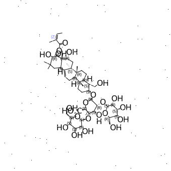 C/C=C(/C)C(=O)OC[C@@]12[C@H](O)C[C@]3(C)C(=CC[C@@H]4[C@@]5(C)CC[C@H](O[C@@H]6O[C@H](C(=O)O)[C@@H](O[C@@H]7O[C@H](CO)[C@@H](O)[C@H](O)[C@H]7O)[C@H](O)[C@H]6O[C@@H]6O[C@H](CO)[C@@H](O)[C@H](O)[C@H]6O)[C@](C)(CO)[C@@H]5CC[C@]43C)[C@@H]1CC(C)(C)[C@@H](O)[C@@H]2O